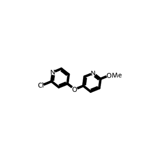 COc1ccc(Oc2ccnc(Cl)c2)cn1